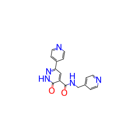 O=C(NCc1ccncc1)c1cc(-c2ccncc2)n[nH]c1=O